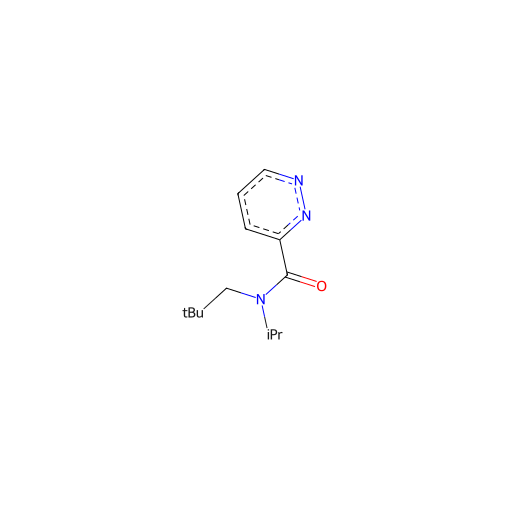 CC(C)N(CC(C)(C)C)C(=O)c1cccnn1